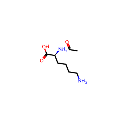 CC=O.NCCCC[C@H](N)C(=O)O